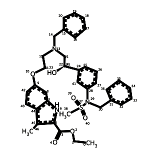 CCOC(=O)c1[nH]c2cc(OCCN(Cc3ccccc3)C[C@H](O)c3cccc(N(Cc4ccccc4)S(C)(=O)=O)c3)ccc2c1C